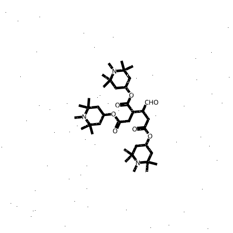 CN1C(C)(C)CC(OC(=O)CC(C=O)C(CC(=O)OC2CC(C)(C)N(C)C(C)(C)C2)C(=O)OC2CC(C)(C)N(C)C(C)(C)C2)CC1(C)C